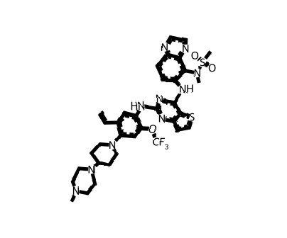 C=Cc1cc(Nc2nc(Nc3ccc4nccnc4c3N(C)S(C)(=O)=O)c3sccc3n2)c(OC(F)(F)F)cc1N1CCC(N2CCN(C)CC2)CC1